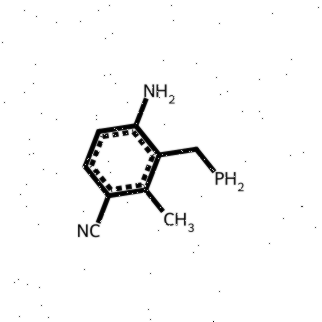 Cc1c(C#N)ccc(N)c1CP